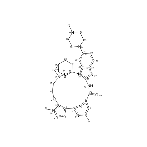 Cc1cc2cc(n1)-c1cnn(C)c1OCCN1CC3CCC(CC3)(C1)n1c(nc3ccc(N4CCN(C)CC4)cc31)NC2=O